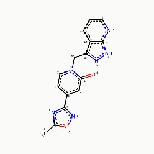 O=c1cc(-c2noc(C(F)(F)F)n2)ccn1Cc1n[nH]c2ncccc12